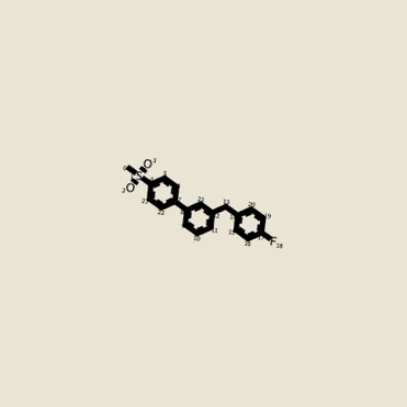 CS(=O)(=O)c1ccc(-c2cccc(Cc3ccc(F)cc3)c2)cc1